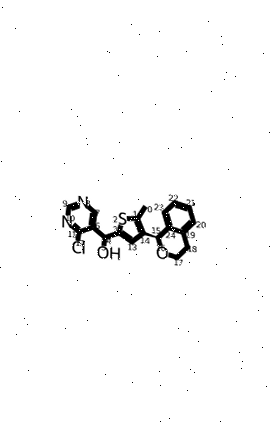 Cc1sc(C(O)c2cncnc2Cl)cc1[C@@H]1OCCc2ccccc21